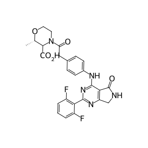 C[C@@H]1OCCN(C(=O)Cc2ccc(Nc3nc(-c4c(F)cccc4F)nc4c3C(=O)NC4)cc2)C1C(=O)O